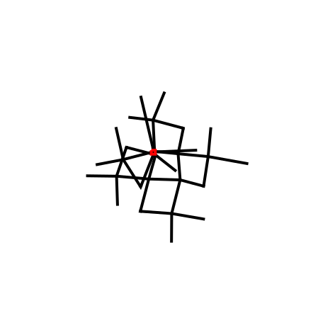 CC1CC(C)(C)C12CC(C)(C)C21CC(C)(C)C12CC(C)(C)C21CC(C)(C)C12CC2(C)C